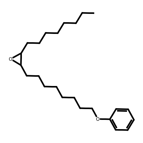 CCCCCCCCC1OC1CCCCCCCCOc1ccccc1